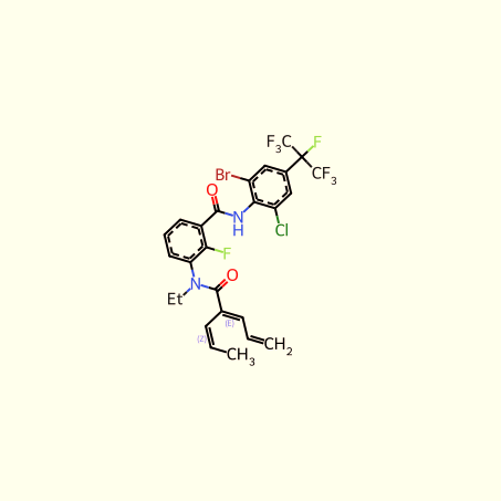 C=C/C=C(\C=C/C)C(=O)N(CC)c1cccc(C(=O)Nc2c(Cl)cc(C(F)(C(F)(F)F)C(F)(F)F)cc2Br)c1F